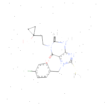 C=C1N(CCC2(O)CC2)C(=O)c2c(nc(SCCC)n2Cc2ccc(Cl)cc2)N1C